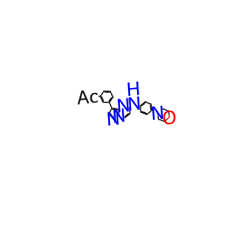 CC(=O)c1cccc(-c2cnn3ccc(Nc4ccc(N5CCOCC5)cc4)nc23)c1